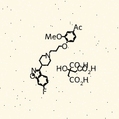 COc1cc(C(C)=O)ccc1OCCCN1CCC(c2noc3cc(F)ccc23)CC1.O=C(O)CC(O)(CC(=O)O)C(=O)O